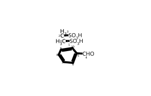 CS(=O)(=O)O.CS(=O)(=O)O.O=Cc1ccccc1